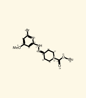 COc1cc(Br)nc(NN=C2CCN(C(=O)OC(C)(C)C)CC2)c1